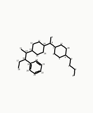 CCCCC1CCC(C(C)C2CCC(C(C)C(CC)c3ccccc3)CC2)CC1